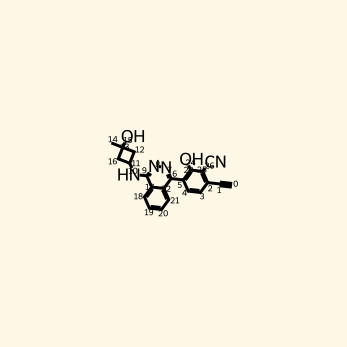 C#Cc1ccc(-c2nnc(NC3CC(C)(O)C3)c3ccccc23)c(O)c1C#N